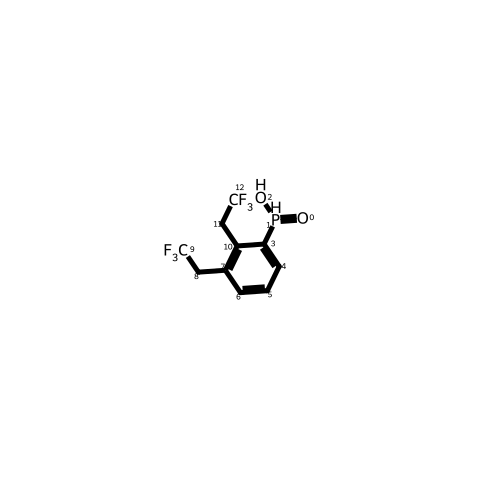 O=[PH](O)c1cccc(CC(F)(F)F)c1CC(F)(F)F